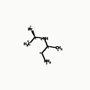 CC(CN)N[C@@H](C)C(C)C